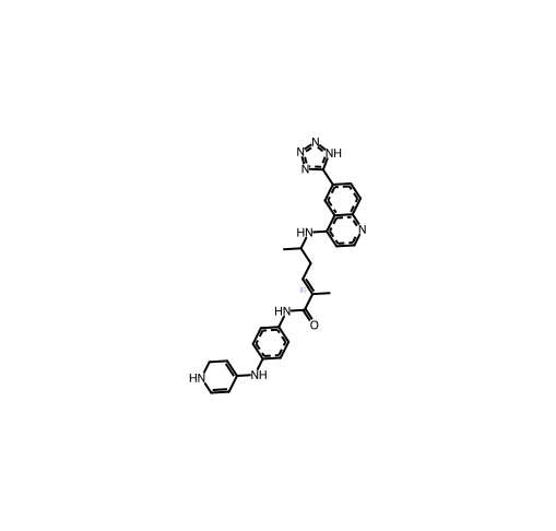 C/C(=C\CC(C)Nc1ccnc2ccc(-c3nnn[nH]3)cc12)C(=O)Nc1ccc(NC2=CCNC=C2)cc1